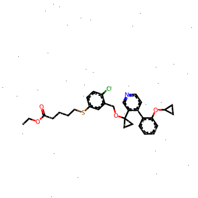 CCOC(=O)CCCCSc1ccc(Cl)c(COC2(c3cnccc3-c3ccccc3OC3CC3)CC2)c1